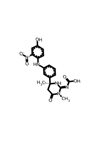 CN1C(=O)C[C@@](C)(c2cccc(Nc3ccc(O)cc3[N+](=O)[O-])c2)N/C1=N\C(=O)O